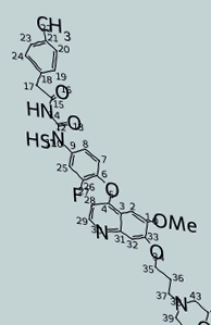 COc1cc2c(Oc3ccc(N(S)C(=O)NC(=O)Cc4ccc(C)cc4)cc3F)ccnc2cc1OCCCN1CCOCC1